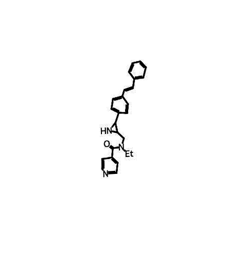 CCN(CC1NC1c1ccc(/C=C/c2ccccc2)cc1)C(=O)c1ccncc1